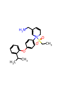 CCS(=O)(=O)[N+]1(c2ccc(Oc3ccccc3C(C)C)cc2)C=C(CN)C=CC1